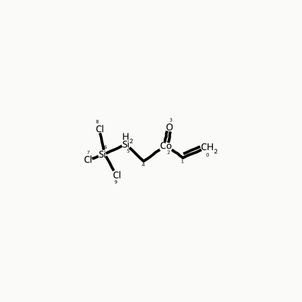 C=[CH][Co](=[O])[CH2][SiH2][Si](Cl)(Cl)Cl